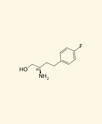 N[C@@H](CO)CCc1ccc(F)cc1